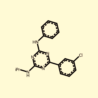 CC(C)Nc1nc(Nc2ccccc2)nc(-c2cccc(Cl)c2)n1